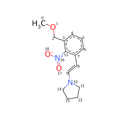 COCc1cccc(C=CN2CCCC2)c1[N+](=O)[O-]